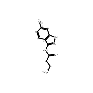 O=C(O)CCC(=O)Nc1n[nH]c2cc(C(F)(F)F)ccc12